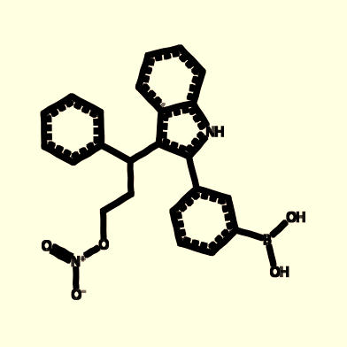 O=[N+]([O-])OCCC(c1ccccc1)c1c(-c2cccc(B(O)O)c2)[nH]c2ccccc12